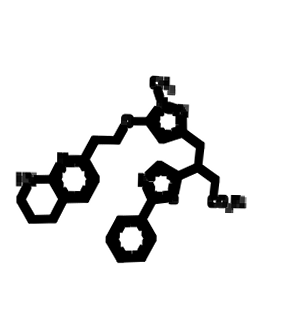 CCOC(=O)CC(Cc1cc(OCCc2ccc3c(n2)NCCC3)n(C)n1)c1cnc(-c2ccccc2)s1